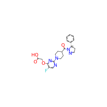 O=C(O)COc1nc(N2CCC(C(=O)N3N=CC[C@H]3c3ccccc3)CC2)ncc1F